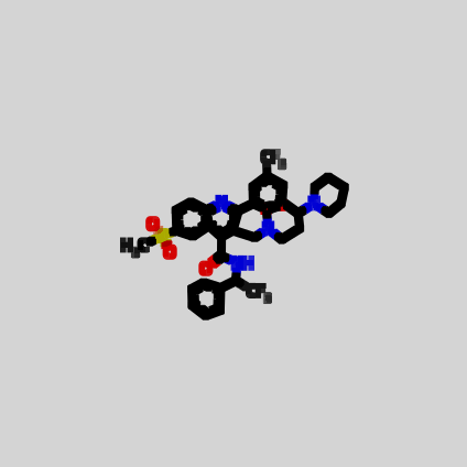 CS(=O)(=O)c1ccc2nc(-c3cccc(C(F)(F)F)c3)c(CN3CCC(N4CCCCC4)CC3)c(C(=O)NC(c3ccccc3)C(F)(F)F)c2c1